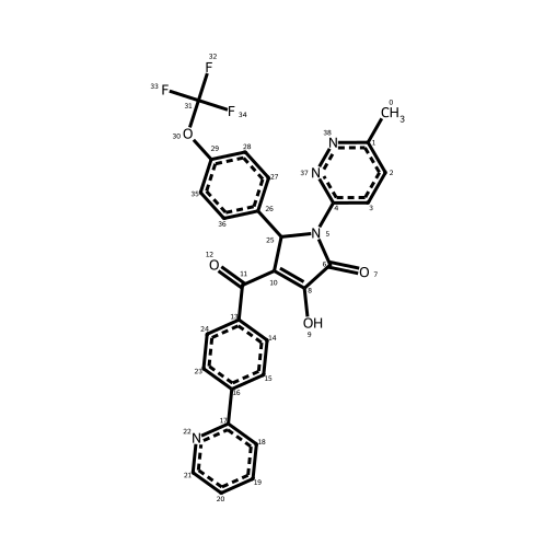 Cc1ccc(N2C(=O)C(O)=C(C(=O)c3ccc(-c4ccccn4)cc3)C2c2ccc(OC(F)(F)F)cc2)nn1